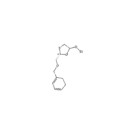 CCOC1CS[C@@H](COCC2=CC=CCC2)O1